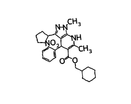 CC1=C(C(=O)OCC2CCCCC2)C(c2ccccc2[N+](=O)[O-])c2c(C3CCCC3)nn(C)c2N1